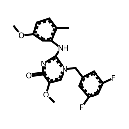 COc1ccc(C)c(Nc2nc(=O)c(OC)cn2Cc2cc(F)cc(F)c2)c1